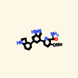 COc1ccc(-c2cc(-c3cccc4[nH]ccc34)cc3[nH]ncc23)nc1C(N)=O